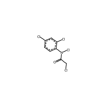 O=C(CCl)N(Cl)c1ccc(Cl)cc1Cl